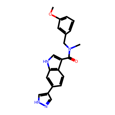 COc1cccc(CN(C)C(=O)c2c[nH]c3cc(-c4cn[nH]c4)ccc23)c1